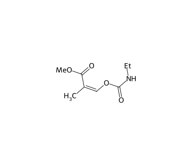 CCNC(=O)OC=C(C)C(=O)OC